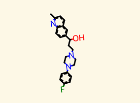 Cc1ccc2cc(C(O)CCN3CCN(c4ccc(F)cc4)CC3)ccc2n1